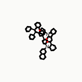 c1ccc(-c2c(-c3ccccc3)c3cc(-c4ccc(N(c5ccc6ccccc6c5)c5ccccc5-c5ccc6c(c5)c5ccccc5n6-c5ccccc5)cc4)ccc3c3ccccc23)cc1